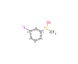 [O-][S+](c1cccc(I)c1)C(F)(F)F